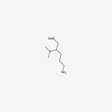 CNCC(CCCN)N(C)C